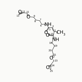 CC(=CC(=O)NCCCCOCC1CO1)C(=O)NCCCCOCC1CO1